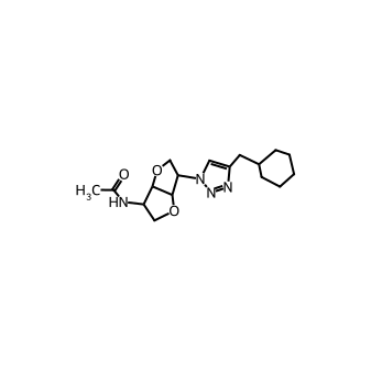 CC(=O)NC1COC2C1OCC2n1cc(CC2CCCCC2)nn1